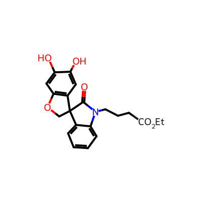 CCOC(=O)CCCN1C(=O)C2(COc3cc(O)c(O)cc32)c2ccccc21